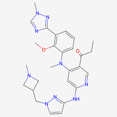 CCC(=O)c1cnc(Nc2ccn(CC3CN(C)C3)n2)cc1N(C)c1cccc(-c2ncn(C)n2)c1OC